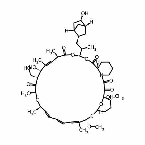 CO[C@H]1C[C@@H]2CC[C@@H](C)[C@@](O)(O2)C(=O)C(=O)N2CCCC[C@H]2C(=O)O[C@H]([C@H](C)C[C@@H]2C[C@@H]3C[C@H]2C[C@H]3O)CC(=O)[C@H](C)/C=C(\C)[C@@H](O)[C@@H](CO)C(=O)[C@H](C)C[C@H](C)/C=C/C=C/C=C/1C